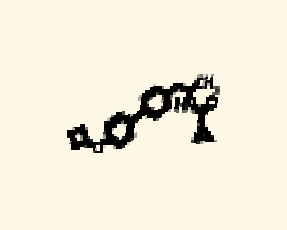 CC(Cc1ccc(-c2ccc(OC3CCC3)cc2)cc1)NC(=O)C1CC1